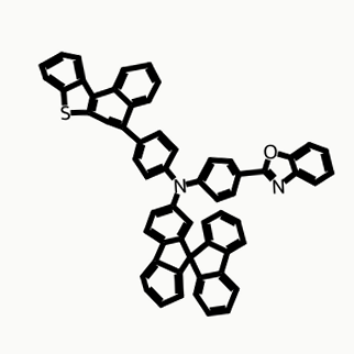 c1ccc2c(c1)-c1ccccc1C21c2ccccc2-c2ccc(N(c3ccc(-c4nc5ccccc5o4)cc3)c3ccc(-c4cc5sc6ccccc6c5c5ccccc45)cc3)cc21